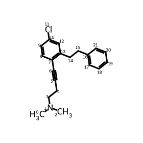 CN(C)CCC#Cc1ccc(Cl)cc1CCc1ccccc1